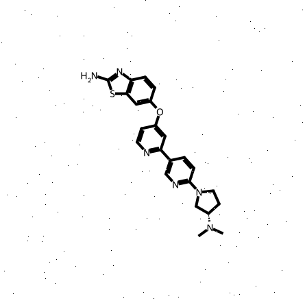 CN(C)[C@H]1CCN(c2ccc(-c3cc(Oc4ccc5nc(N)sc5c4)ccn3)cn2)C1